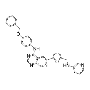 c1ccc(COc2ccc(Nc3ncnc4cnc(-c5ccc(CNc6cccnc6)o5)cc34)cc2)cc1